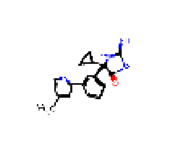 Cc1ccnc(-c2cccc(C3(C4CC4)NC(=N)NC3=O)c2)c1